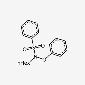 CCCCCCN(Oc1ccccc1)S(=O)(=O)c1ccccc1